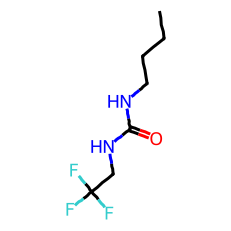 CCCCNC(=O)NCC(F)(F)F